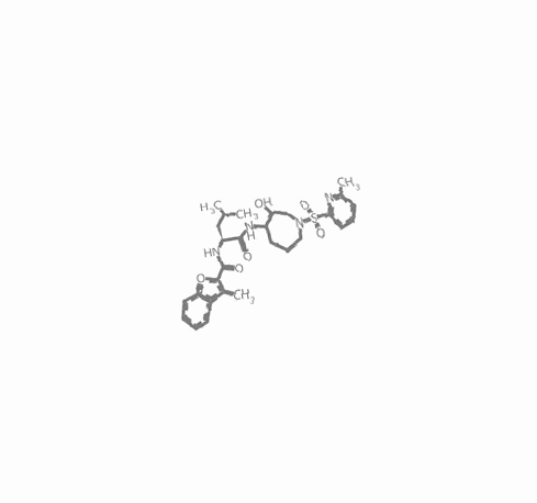 Cc1cccc(S(=O)(=O)N2CCCC(NC(=O)[C@H](CC(C)C)NC(=O)c3oc4ccccc4c3C)C(O)C2)n1